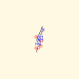 C=CCC(=O)OCC(=O)N[C@@H](C)C(=O)N1CCC[C@@H](C(=O)N[C@H](C)c2ccc3cnc(C=C)cc3c2)N1